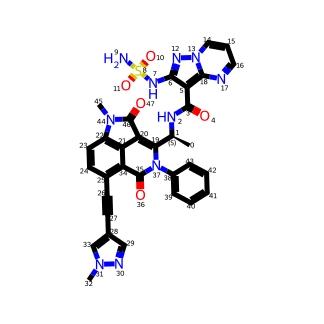 C[C@H](NC(=O)c1c(NS(N)(=O)=O)nn2cccnc12)c1c2c3c(ccc(C#Cc4cnn(C)c4)c3c(=O)n1-c1ccccc1)N(C)C2=O